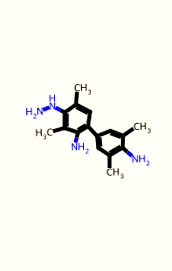 Cc1cc(-c2cc(C)c(NN)c(C)c2N)cc(C)c1N